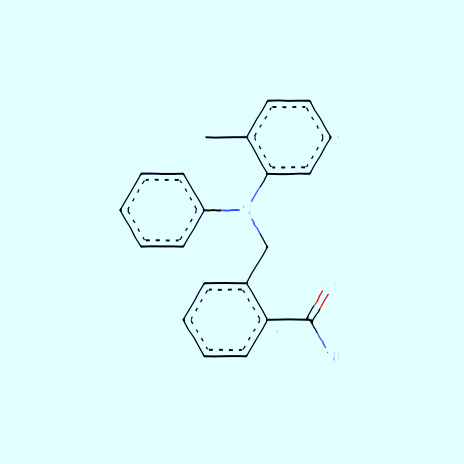 Cc1ccccc1N(Cc1ccccc1C(N)=O)c1ccccc1